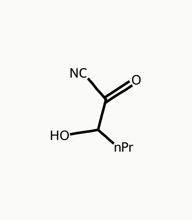 CCCC(O)C(=O)C#N